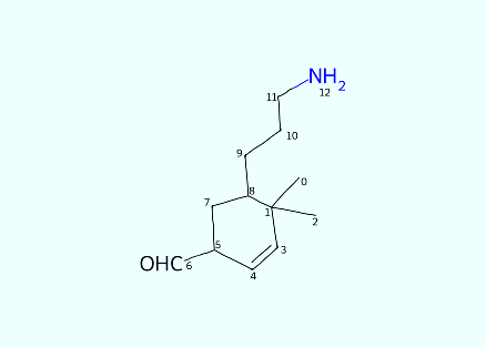 CC1(C)C=CC(C=O)CC1CCCN